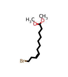 COC(CCCCCC/C=C\CCBr)OC